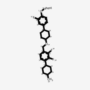 CCCCCOc1ccc(C2CCC(OCc3ccc(C4CCC(C)CC4)c(F)c3F)CC2)cc1F